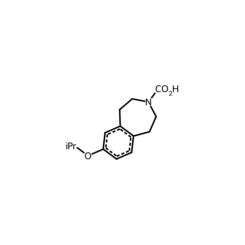 CC(C)Oc1ccc2c(c1)CCN(C(=O)O)CC2